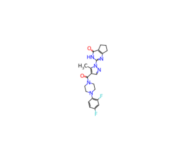 Cc1c(C(=O)N2CCN(c3ccc(F)cc3F)CC2)cnn1-c1nc2c(c(=O)[nH]1)CCC2